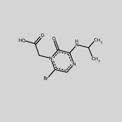 CC(C)Nc1ncc(Br)n(CC(=O)O)c1=O